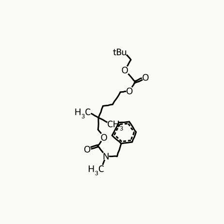 CN(Cc1ccccc1)C(=O)OCC(C)(C)CCCOC(=O)OCC(C)(C)C